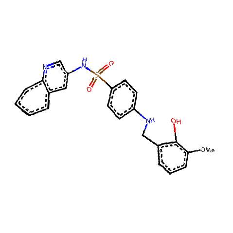 COc1cccc(CNc2ccc(S(=O)(=O)Nc3cnc4ccccc4c3)cc2)c1O